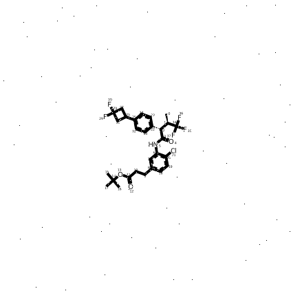 C[C@H]([C@H](C(=O)Nc1cc(CCC(=O)OC(C)(C)C)ccc1Cl)c1ccc(C2CC(F)(F)C2)cc1)C(F)(F)F